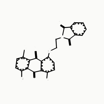 Nc1ccc(O)c2c1C(=O)c1c(O)ccc(NCCN3C(=O)c4ccccc4C3=O)c1C2=O